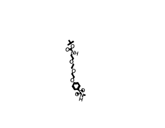 CNS(=O)(=O)c1ccc(OCCOCCOCCNC(=O)OC(C)(C)C)cc1